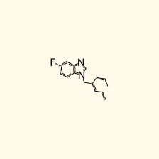 C=C/C=C(\C=C/C)Cn1cnc2cc(F)ccc21